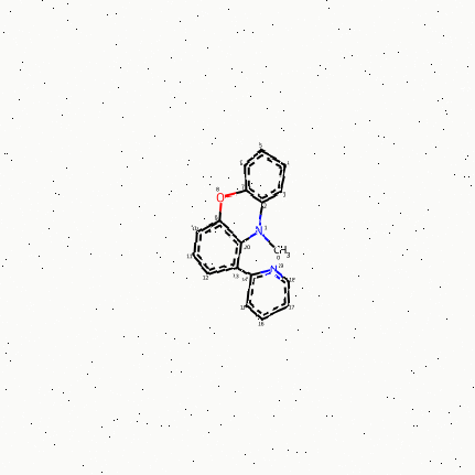 CN1c2ccccc2Oc2cccc(-c3ccccn3)c21